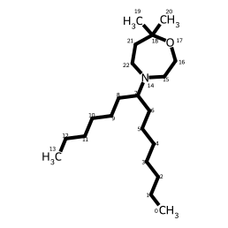 CCCCCCCC(CCCCCC)N1CCOC(C)(C)CC1